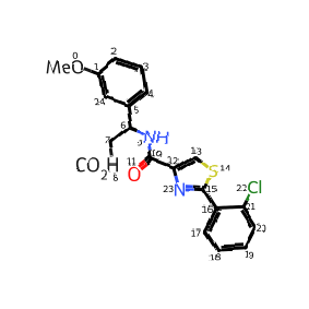 COc1cccc(C(CC(=O)O)NC(=O)c2csc(-c3ccccc3Cl)n2)c1